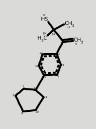 C=C(c1ccc(C2CCCCC2)cc1)C(C)(C)S